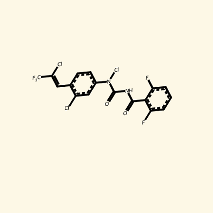 O=C(NC(=O)N(Cl)c1ccc(C=C(Cl)C(F)(F)F)c(Cl)c1)c1c(F)cccc1F